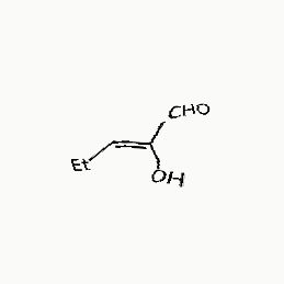 CCC=C(O)C=O